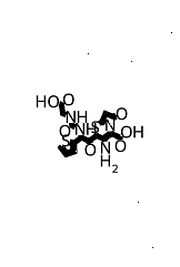 NC1=C(C(=O)O)N2C(=O)CC2SC1C(=O)C(NC(=O)NCC(=O)O)c1cccs1